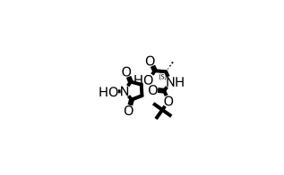 C[C@H](NC(=O)OC(C)(C)C)C(=O)O.O=C1CCC(=O)N1O